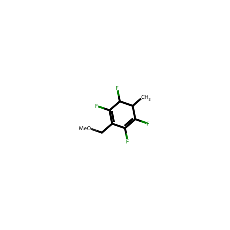 COCC1=C(F)C(F)[C](C)C(F)=C1F